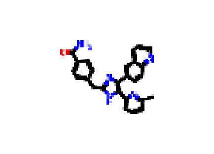 Cc1cccc(-c2[nH]c(Cc3ccc(C(N)=O)cc3)nc2-c2ccc3ncccc3c2)n1